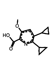 COc1cc(C2CC2)c(C2CC2)nc1C(=O)O